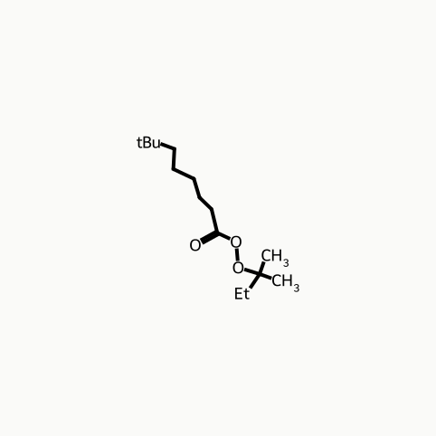 CCC(C)(C)OOC(=O)CCCCCC(C)(C)C